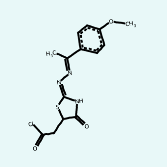 COc1ccc(C(C)=NN=C2NC(=O)C(CC(=O)Cl)S2)cc1